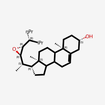 CCC[C@H](C(C)C)[C@H]1O[C@@H]1[C@@H](C)[C@H]1CCC2C3CC=C4C[C@@H](O)CC[C@]4(C)C3CC[C@@]21C